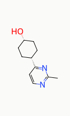 Cc1nccc([C@H]2CC[C@@H](O)CC2)n1